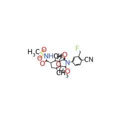 CC12C[C@@H](C(=O)NS(C)(=O)=O)C(C)(O1)[C@@H]1C(=O)N(c3ccc(C#N)c(CF)c3)C(=O)[C@@H]12